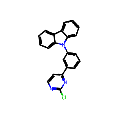 Clc1nccc(-c2cccc(-n3c4ccccc4c4ccccc43)c2)n1